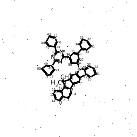 CC1(C)c2cc3c(cc2-c2ccc4ccccc4c21)c1ccccc1n3-c1cc(-c2ccccc2)cc(-c2nc(-c3ccccc3)nc(-c3ccccc3)n2)c1